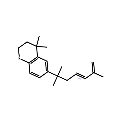 C=C(C)/C=C/CC(C)(C)c1ccc2c(c1)C(C)(C)CCS2